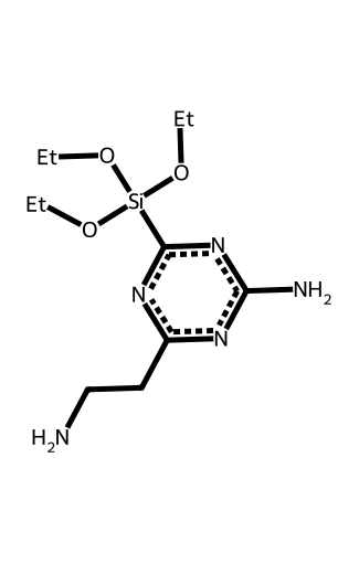 CCO[Si](OCC)(OCC)c1nc(N)nc(CCN)n1